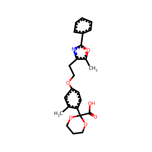 Cc1cc(OCCc2nc(-c3ccccc3)oc2C)ccc1C1(C(=O)O)OCCCO1